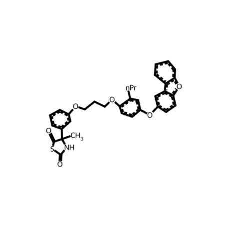 CCCc1cc(Oc2ccc3oc4ccccc4c3c2)ccc1OCCCOc1cccc(C2(C)NC(=O)SC2=O)c1